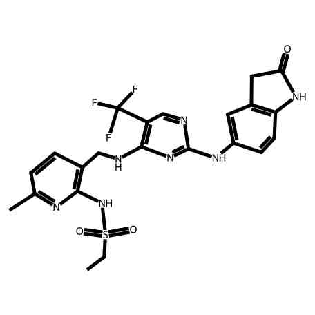 CCS(=O)(=O)Nc1nc(C)ccc1CNc1nc(Nc2ccc3c(c2)CC(=O)N3)ncc1C(F)(F)F